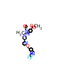 COC(=O)c1ccc2nc(C(C)N3CCC(c4cccc(OCc5ccc6cnn(CC(F)(F)F)c6c5)n4)CC3)n(C[C@@H]3CCO3)c2c1